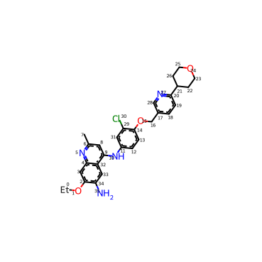 CCOc1cc2nc(C)cc(Nc3ccc(OCc4ccc(C5CCOCC5)nc4)c(Cl)c3)c2cc1N